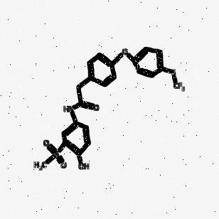 CS(=O)(=O)c1cc(NC(=O)Cc2ccc(Oc3ccc(SC(F)(F)F)cc3)cc2)ccc1O